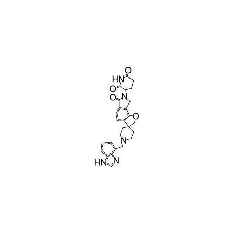 O=C1CCC(N2Cc3c(ccc4c3OCC43CCN(Cc4cccc5[nH]cnc45)CC3)C2=O)C(=O)N1